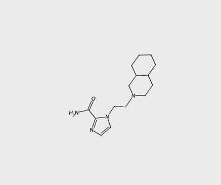 NC(=O)c1n[c]cn1CCN1CCC2CCCCC2C1